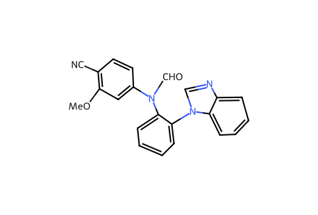 COc1cc(N(C=O)c2ccccc2-n2cnc3ccccc32)ccc1C#N